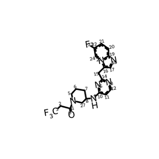 O=C(CC(F)(F)F)N1CCCC(Nc2ccnc(Cc3cnc4ccc(F)cn34)n2)C1